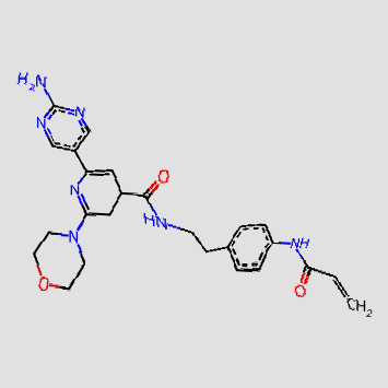 C=CC(=O)Nc1ccc(CCNC(=O)C2C=C(c3cnc(N)nc3)N=C(N3CCOCC3)C2)cc1